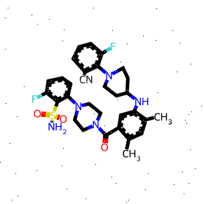 Cc1cc(C)c(C(=O)N2CCN(c3cccc(F)c3S(N)(=O)=O)CC2)cc1NC1CCN(c2c(F)cccc2C#N)CC1